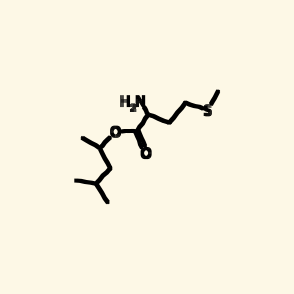 CSCCC(N)C(=O)OC(C)CC(C)C